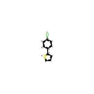 Clc1ccc(-c2[c]ccs2)cc1